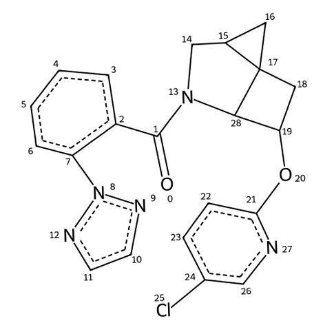 O=C(c1ccccc1-n1nccn1)N1CC2CC23CC(Oc2ccc(Cl)cn2)C13